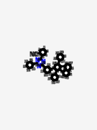 N#Cc1ccccc1-c1nc(-c2ccccc2)nc(-c2cccc(-c3cc(-c4ccccc4)c4c(c3-c3ccccc3)-c3cccc5cccc-4c35)c2)n1